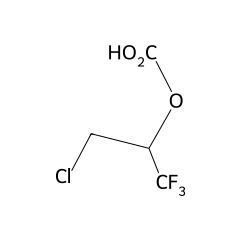 O=C(O)OC(CCl)C(F)(F)F